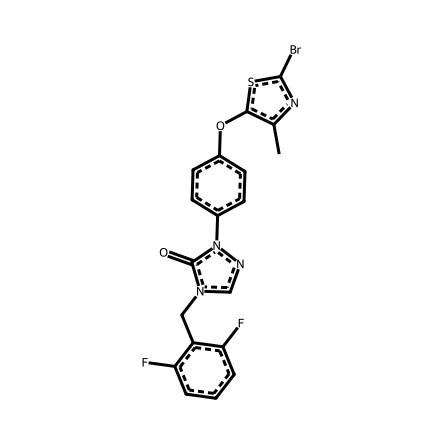 Cc1nc(Br)sc1Oc1ccc(-n2ncn(Cc3c(F)cccc3F)c2=O)cc1